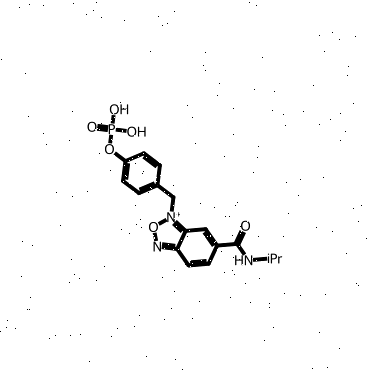 CC(C)NC(=O)c1ccc2no[n+](Cc3ccc(OP(=O)(O)O)cc3)c2c1